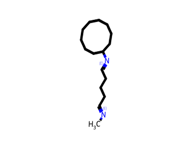 C/N=C/CCC/C=N/C1CCCCCCCCC1